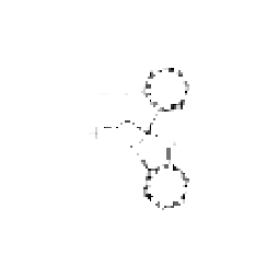 OCC1(c2ccccc2O)N=c2ccccc2=N1